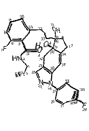 CC(C)CNC(=O)c1c(F)cccc1CC[C@]1(O)CCC2=Cc3c(cnn3-c3ccc(F)cc3)C[C@@]21C